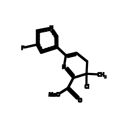 COC(=O)C1=NC(c2cncc(F)c2)=CCC1(C)Cl